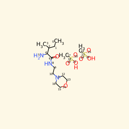 CCC(C)C(N)C(=O)NCCN1CCOCC1.CS(=O)(=O)O.CS(=O)(=O)O